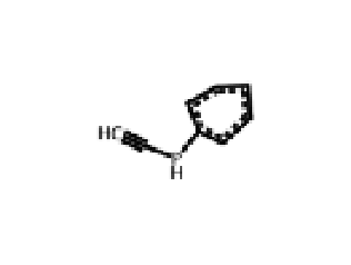 C#CPc1ccccc1